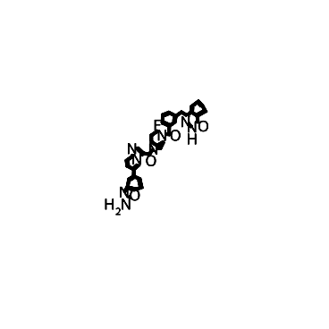 Nc1nc2cc(-c3ccc4ncc(C(=O)N5CC6CC5CCN6C(=O)c5cc(Cc6n[nH]c(=O)c7ccccc67)ccc5F)n4c3)ccc2o1